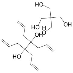 C=CCC(O)(CC=C)C(O)(CC=C)CC=C.OCC(CO)(CO)CO